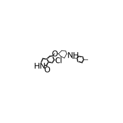 Cc1ccc(CN[C@H]2CC[C@@H](Oc3cc4cc[nH]c(=O)c4cc3Cl)CC2)cc1